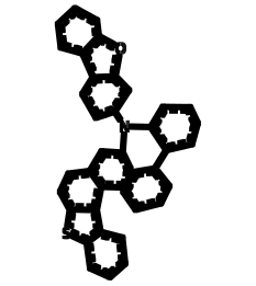 c1ccc(-c2ccccc2N(c2ccc3c(ccc4sc5ccccc5c43)c2)c2ccc3c(c2)oc2ccccc23)cc1